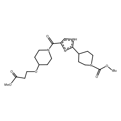 COC(=O)CCOC1CCN(C(=O)c2c[nH]c(C3CCN(C(=O)OC(C)(C)C)CC3)n2)CC1